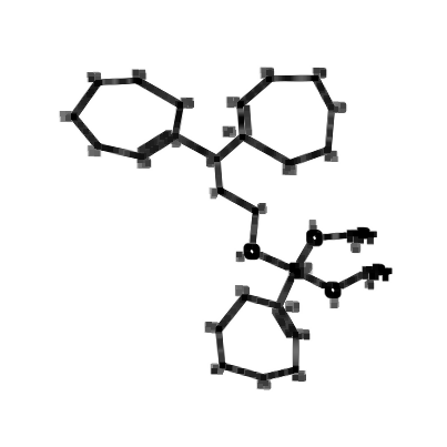 CCCO[Si](OCCC)(OCCC(C1=CCCCCC1)C1=CCCCCC1)C1=CCCCCC1